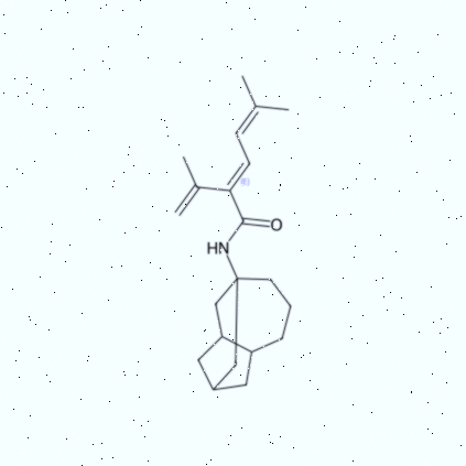 C=C(C)/C(=C\C=C(C)C)C(=O)NC12CCCC3CC(CC3C1)C2